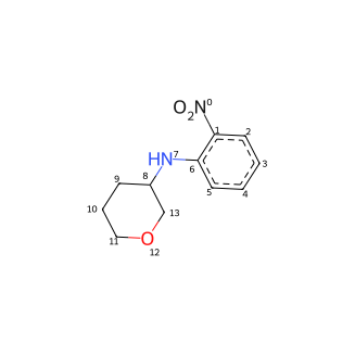 O=[N+]([O-])c1ccccc1NC1CCCOC1